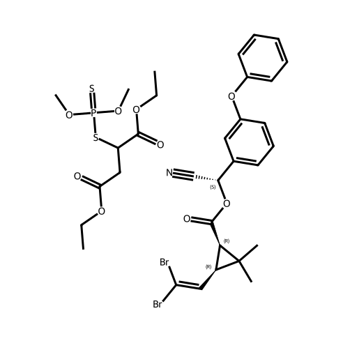 CC1(C)[C@H](C(=O)O[C@H](C#N)c2cccc(Oc3ccccc3)c2)[C@@H]1C=C(Br)Br.CCOC(=O)CC(SP(=S)(OC)OC)C(=O)OCC